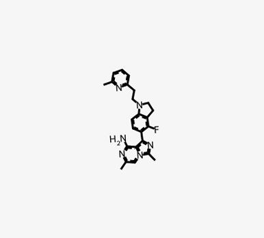 Cc1cccc(CCN2CCc3c2ccc(-c2nc(C)n4cc(C)nc(N)c24)c3F)n1